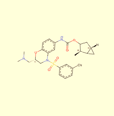 C[C@H]1C(OC(=O)Nc2ccc3c(c2)N(S(=O)(=O)c2cccc(C#N)c2)C[C@H](CN(C)C)O3)C[C@@H]2CC21